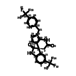 O=C1C[C@]2(C(=O)Nc3ccc(C(F)(F)F)cc32)c2cnn(Cc3ccc(C(F)(F)F)cn3)c2N1